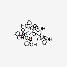 CC(=O)C1(O)C=CC=CC1C(=O)Oc1cc(O)c2c(=O)c(OC(=O)C3C=CC=CC3(O)C(C)=O)c(-c3ccc(OC(=O)C4C=CC=CC4(O)C(C)=O)c(OC(=O)C4C=CC=CC4(O)C(C)=O)c3)oc2c1